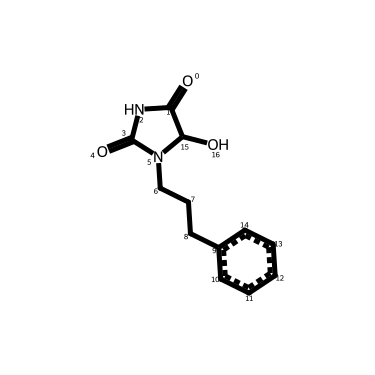 O=C1NC(=O)N(CCCc2ccccc2)C1O